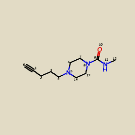 C#CCCCN1CCN(C(=O)NC)CC1